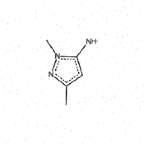 Cc1cc([NH])n(C)n1